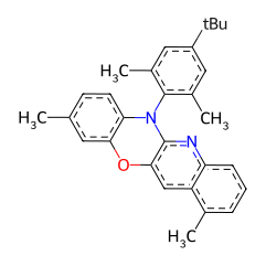 Cc1ccc2c(c1)Oc1cc3c(C)cccc3nc1N2c1c(C)cc(C(C)(C)C)cc1C